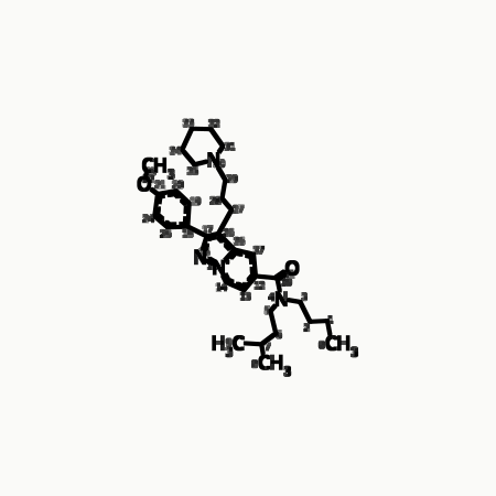 CCCCN(CCC(C)C)C(=O)c1ccn2nc(-c3ccc(OC)cc3)c(CCCN3CCCCC3)c2c1